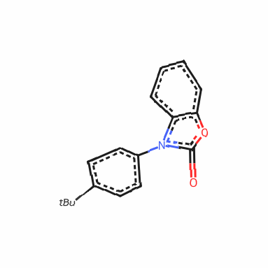 CC(C)(C)c1ccc(-n2c(=O)oc3ccccc32)cc1